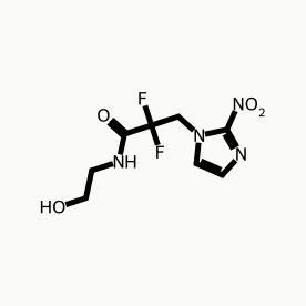 O=C(NCCO)C(F)(F)Cn1ccnc1[N+](=O)[O-]